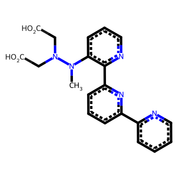 CN(c1cccnc1-c1cccc(-c2ccccn2)n1)N(CC(=O)O)CC(=O)O